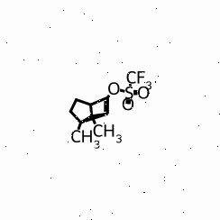 CC12CCC3C(OS(=O)(=O)C(F)(F)F)=C1C32C